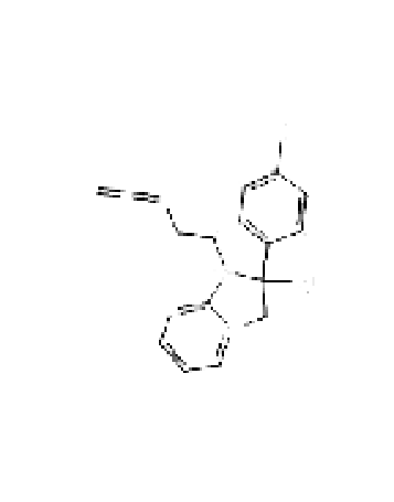 [N-]=[N+]=NCCN1c2nccc[n+]2CC1(O)c1ccc(Br)cc1